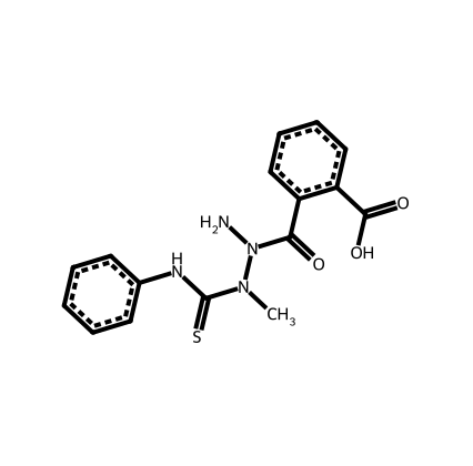 CN(C(=S)Nc1ccccc1)N(N)C(=O)c1ccccc1C(=O)O